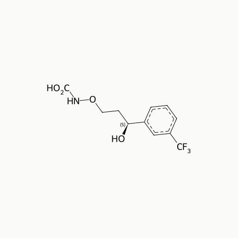 O=C(O)NOCC[C@H](O)c1cccc(C(F)(F)F)c1